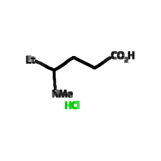 CCC(CCC(=O)O)NC.Cl